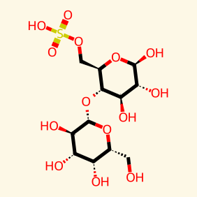 O=S(=O)(O)OC[C@H]1O[C@@H](O)[C@H](O)[C@@H](O)[C@@H]1O[C@@H]1O[C@H](CO)[C@H](O)[C@H](O)[C@H]1O